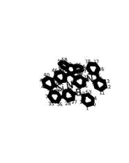 c1ccc(B2c3cc(-n4c5ccccc5c5ccccc54)cc4c3N3c5c2cccc5[Si](c2ccccc2)(c2ccccc2)c2cccc(c23)C42c3ccccc3-c3ccccc32)cc1